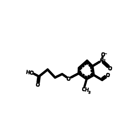 Cc1c(OCCCC(=O)O)ccc([N+](=O)[O-])c1C=O